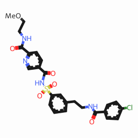 COCCNC(=O)c1ccc(C(=O)NS(=O)(=O)c2cccc(CCNC(=O)c3ccc(Cl)cc3)c2)cn1